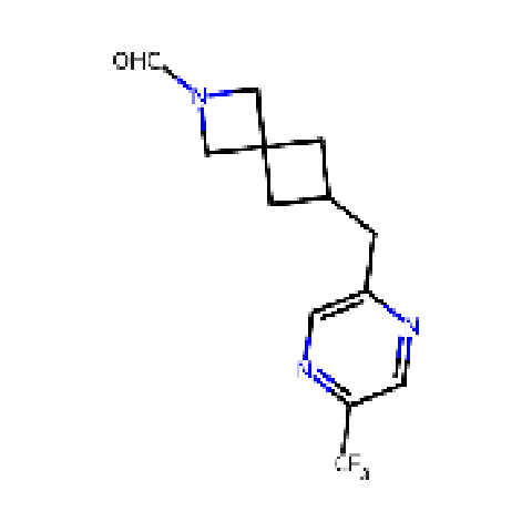 O=CN1CC2(CC(Cc3cnc(C(F)(F)F)cn3)C2)C1